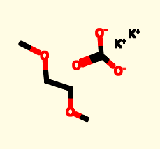 COCCOC.O=C([O-])[O-].[K+].[K+]